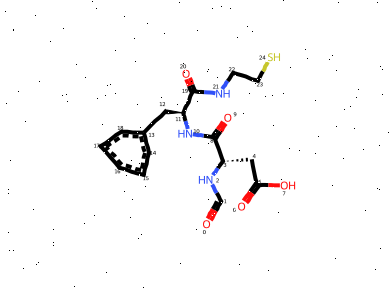 O=CN[C@@H](CC(=O)O)C(=O)N[C@@H](Cc1ccccc1)C(=O)NCCS